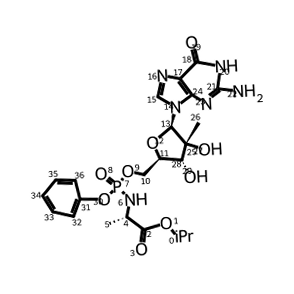 CC(C)OC(=O)[C@H](C)NP(=O)(OC[C@H]1O[C@@H](n2cnc3c(=O)[nH]c(N)nc32)[C@](C)(O)[C@@H]1O)Oc1ccccc1